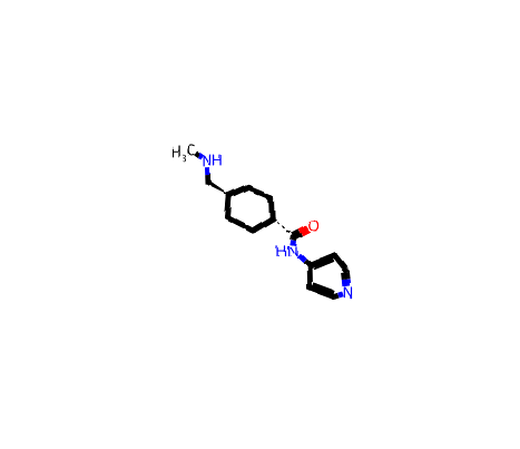 CNC[C@H]1CC[C@H](C(=O)Nc2ccncc2)CC1